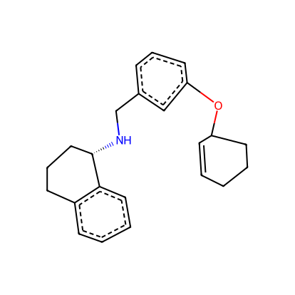 C1=CC(Oc2cccc(CN[C@H]3CCCc4ccccc43)c2)CCC1